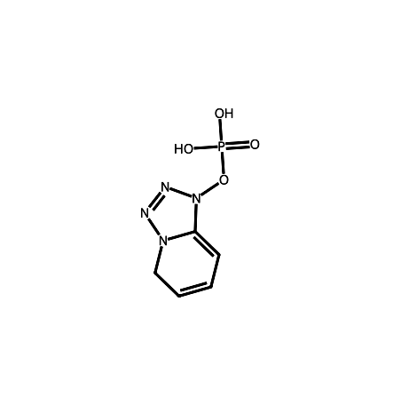 O=P(O)(O)ON1N=NN2CC=CC=C21